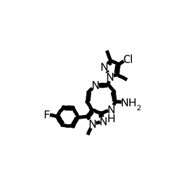 Cc1nn(-c2cc(N)[nH]c3nn(C)c(-c4ccc(F)cc4)c3ccn2)c(C)c1Cl